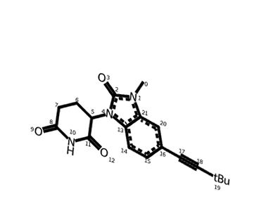 Cn1c(=O)n(C2CCC(=O)NC2=O)c2ccc(C#CC(C)(C)C)cc21